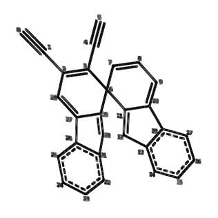 C#CC1=C(C#C)C2(C=CC=C3C2=Cc2ccccc23)C2=Cc3ccccc3C2=C1